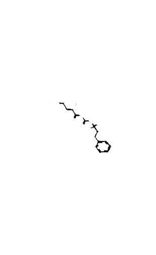 CC(C)(CCc1ccccc1)OC(=O)OC(=O)[C@@H](N)CCC(=O)O